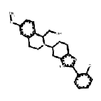 COc1ccc2c(c1)CCN(C1CCc3nc(-c4ccccc4Cl)[nH]c3C1)C2CO